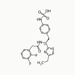 CCc1csc([C@H](Cc2ccc(NS(=O)(=O)O)cc2)NC(=O)Cc2cccc(F)c2F)n1